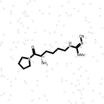 CN/C(=N/C#N)NCCCC[C@H](N)C(=O)N1CCCC1